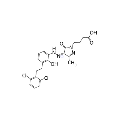 CC1=NN(CCCC(=O)O)C(=O)/C1=N\Nc1cccc(CCc2c(Cl)cccc2Cl)c1O